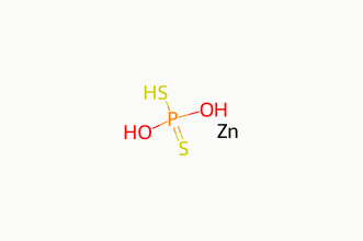 OP(O)(=S)S.[Zn]